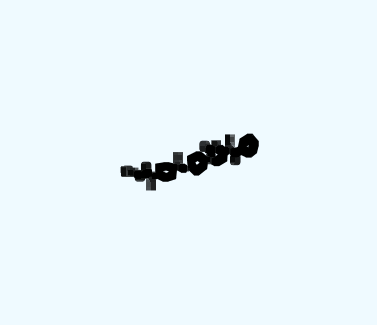 CC(C)(C)OC(=O)N[C@H]1CC[C@H](NC[C@H]2CC[C@H](n3ccc(NC(=O)c4ccccc4)nc3=O)CC2)CC1